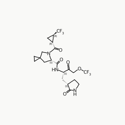 O=C1NCC[C@H]1C[C@H](NC(=O)[C@@H]1CC2(CC2)CN1C(=O)[C@@H]1C[C@H]1C(F)(F)F)C(=O)COC(F)(F)F